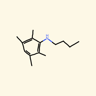 CCCCNc1c(C)c(C)cc(C)c1C